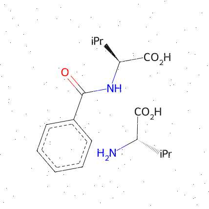 CC(C)[C@H](N)C(=O)O.CC(C)[C@H](NC(=O)c1ccccc1)C(=O)O